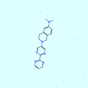 CN(C)c1ccc2c(c1)CCN(c1cnc(-c3ncccn3)nc1)C2